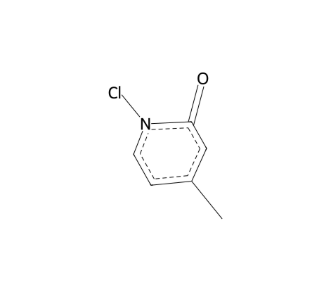 Cc1ccn(Cl)c(=O)c1